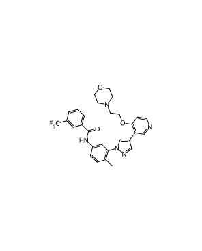 Cc1ccc(NC(=O)c2cccc(C(F)(F)F)c2)cc1-n1cc(-c2cnccc2OCCN2CCOCC2)cn1